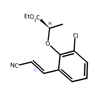 CCOC(=O)[C@@H](C)Oc1c(Cl)cccc1/C=C/C#N